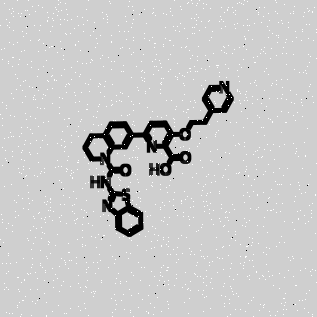 O=C(O)c1nc(-c2ccc3c(c2)N(C(=O)Nc2nc4ccccc4s2)CCC3)ccc1OCCc1ccncc1